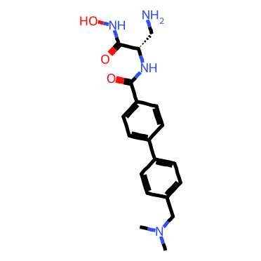 CN(C)Cc1ccc(-c2ccc(C(=O)N[C@@H](CN)C(=O)NO)cc2)cc1